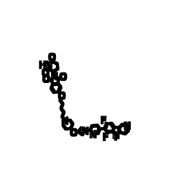 Cn1c2ccncc2c2cc(F)c(-c3ccc(N4CC(OC5CCN(CCCCCOc6ccc7c(c6)C(=O)N(C6CCC(=O)NC6=O)C7=O)CC5)C4)nc3)c(F)c21